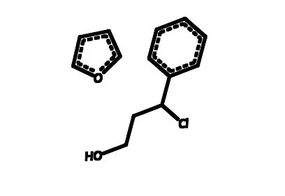 OCCC(Cl)c1ccccc1.c1ccoc1